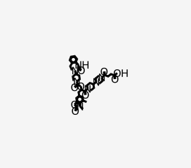 Cc1cc(CC(OC(=O)N2CCC(N3CCc4ccccc4NC3=O)CC2)C(=O)N2CCC(N3CCN(C(=O)CCC(=O)O)CC3)CC2)cc2oc(=O)n(C)c12